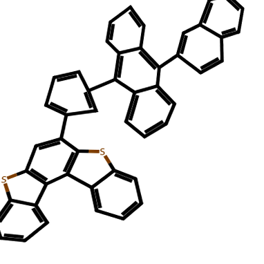 c1cc(-c2c3ccccc3c(-c3ccc4ccccc4c3)c3ccccc23)cc(-c2cc3sc4ccccc4c3c3c2sc2ccccc23)c1